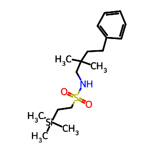 CC(C)(CCc1ccccc1)CNS(=O)(=O)CC[Si](C)(C)C